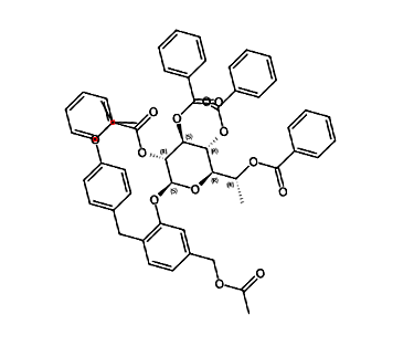 CC(=O)OCc1ccc(Cc2ccc(OC(C)C)cc2)c(O[C@@H]2O[C@H]([C@@H](C)OC(=O)c3ccccc3)[C@@H](OC(=O)c3ccccc3)[C@H](OC(=O)c3ccccc3)[C@H]2OC(=O)c2ccccc2)c1